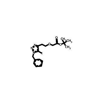 CC(C)(C)OC(=O)COCCc1nnn(Cc2ccccc2)c1I